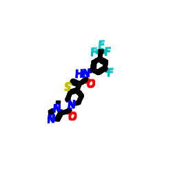 Cn1cncc1C(=O)N1CCc2c(C(=O)Nc3cc(F)cc(C(F)(F)F)c3)csc2C1